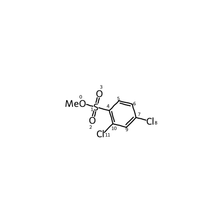 COS(=O)(=O)c1ccc(Cl)cc1Cl